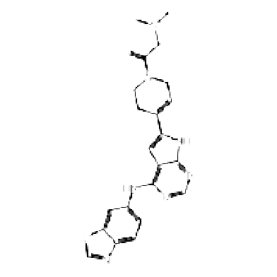 CN(C)CC(=O)N1CC=C(c2cc3c(Nc4ccc5ncsc5c4)ncnc3[nH]2)CC1